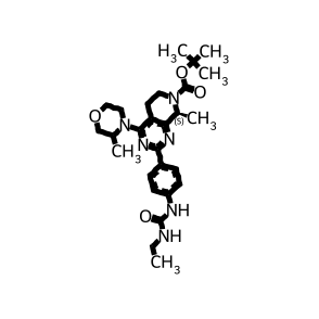 CCNC(=O)Nc1ccc(-c2nc3c(c(N4CCOCC4C)n2)CCN(C(=O)OC(C)(C)C)[C@H]3C)cc1